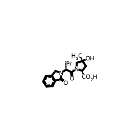 CC(C)[C@@H](C(=O)N1C[C@](C)(O)C[C@H]1C(=O)O)N1Cc2ccccc2C1=O